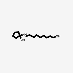 OCCCCCCCCCNC1(O)CCCC1